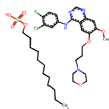 CCCCCCCCCCCCOS(=O)(=O)O.COc1cc2ncnc(Nc3ccc(F)c(Cl)c3)c2cc1OCCCN1CCOCC1